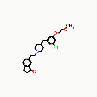 COCCOc1cc(Cl)cc(CC2CCN(CCc3ccc4c(c3)C(=O)CC4)CC2)c1